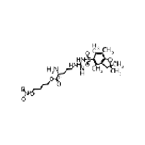 Cc1c(C)c(S(=O)(=O)NC(=N)NCCC[C@H](N)C(=O)OCCCCO[N+](=O)[O-])c(C)c2c1OC(C)(C)C2